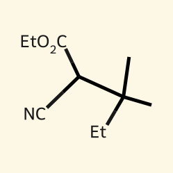 CCOC(=O)C(C#N)C(C)(C)CC